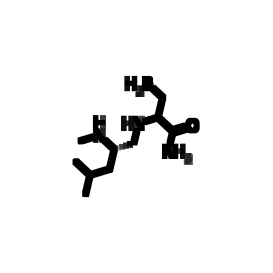 BCC(NC[C@H](CC(C)C)NC)C(N)=O